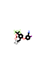 CCCc1cc(C(OCOC)(C(F)(F)F)C(F)(F)F)ccc1Oc1ccc(I)c(C#N)c1